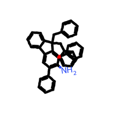 Nc1c(-c2ccccc2)cc2c(c1-c1ccccc1)C(Cc1ccccc1)(Cc1ccccc1)c1ccccc1-2